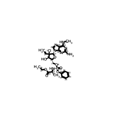 C=C[C@@]1(Cl)[C@H](O)[C@@H](CO[P@](=O)(N[C@@H](C)C(=O)OCC)Oc2ccccc2)O[C@H]1n1cnc2c(NC)nc(N)nc21